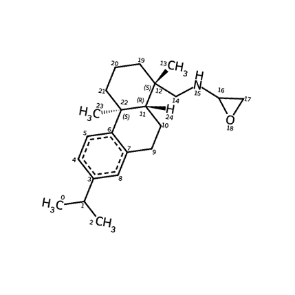 CC(C)c1ccc2c(c1)CC[C@H]1[C@@](C)(CNC3CO3)CCC[C@]21C